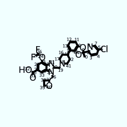 CC1(c2ccc(Cl)cn2)Oc2cccc(C3CCN(Cc4nc5c(OC(F)F)cc(C(=O)O)cc5n4C[C@@H]4CCO4)CC3)c2O1